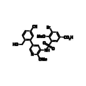 COc1ncc(-c2cc(C#N)ccc2CO)cc1NS(=O)(=O)c1cc(C(=O)O)cc(Br)c1OC